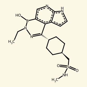 CCN1N=C([C@H]2CC[C@H](CS(=O)(=O)NC)CC2)c2c(cnc3[nH]ccc23)B1O